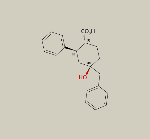 O=C(O)[C@@H]1CC[C@](O)(Cc2ccccc2)C[C@H]1c1ccccc1